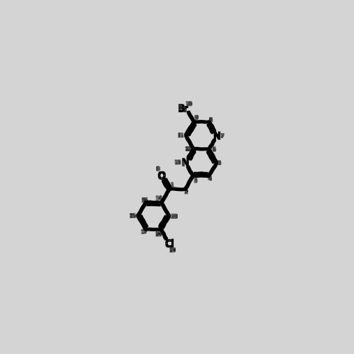 O=C(Cc1ccc2ncc(Br)cc2n1)c1cccc(Cl)c1